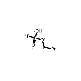 CC(C)COP(=O)(O)F